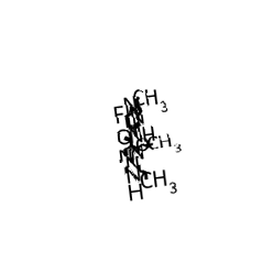 CCOc1nc(N2CCNC(CC)C2)ncc1C(=O)Nc1cc(F)c2nc(C)cn2c1